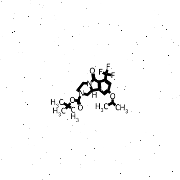 CC(C)Oc1cc2c(c(C(F)(F)F)c1)C(=O)N1CCN(C(=O)OC(C)(C)C)C[C@@H]21